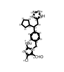 CCCCc1nc(Cl)c(C=O)n1Cc1ccc(C(Cc2nnn[nH]2)C2CCCC2)cc1